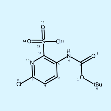 CC(C)(C)OC(=O)Nc1ccc(Cl)nc1S(=O)(=O)Cl